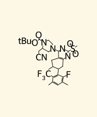 Cc1cc(C)c(C(F)(F)F)c(C2Cc3nc(S(C)(=O)=O)nc(N4CCN(C(=O)OC(C)(C)C)C(CC#N)C4)c3CC2C)c1F